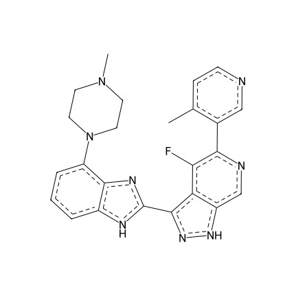 Cc1ccncc1-c1ncc2[nH]nc(-c3nc4c(N5CCN(C)CC5)cccc4[nH]3)c2c1F